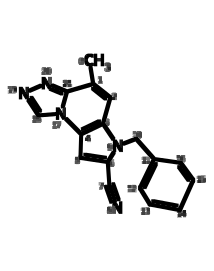 Cc1cc2c(cc(C#N)n2Cc2ccccc2)n2cnnc12